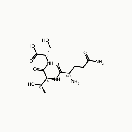 C[C@@H](O)[C@H](NC(=O)[C@@H](N)CCC(N)=O)C(=O)N[C@@H](CO)C(=O)O